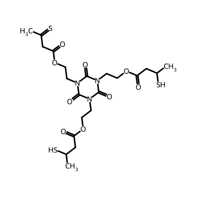 CC(=S)CC(=O)OCCn1c(=O)n(CCOC(=O)CC(C)S)c(=O)n(CCOC(=O)CC(C)S)c1=O